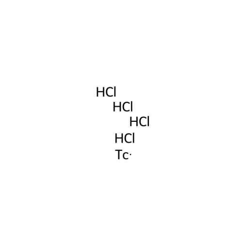 Cl.Cl.Cl.Cl.[Tc]